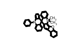 C[Si]1(C)c2ccccc2C2(c3ccccc3N(c3ccccc3)c3ccccc32)c2ccc3c(oc4ccccc43)c21